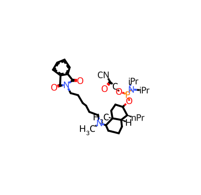 [C-]#[N+]C(=O)COP(OC1CC[C@]2(C)C(N(C)CCCCCCN3C(=O)c4ccccc4C3=O)CCC[C@H]2[C@@H]1CCC)N(C(C)C)C(C)C